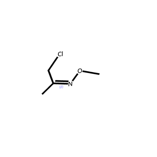 CO/N=C(/C)CCl